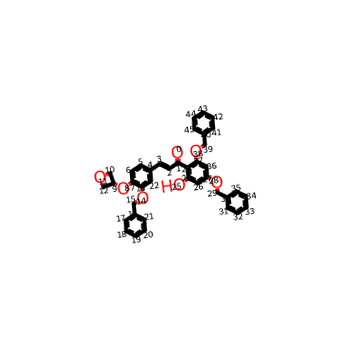 O=C(/C=C/c1ccc(OC2COC2)c(OCc2ccccc2)c1)c1c(O)cc(OCc2ccccc2)cc1OCc1ccccc1